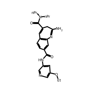 CCCN(CCC)C(=O)C1=Cc2ccc(C(=O)Nc3cncc(OCC)c3)cc2N=C(N)C1